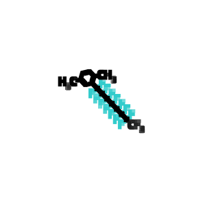 Cc1ccc(C)c(C(F)(F)C(F)(F)C(F)(F)C(F)(F)C(F)(F)C(F)(F)C(F)(F)C(F)(F)F)c1